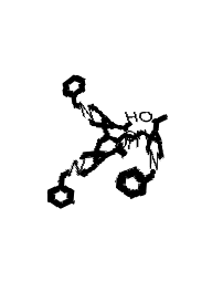 CC(O)C1C2CN(Cc3ccccc3)CC21CCCCC(CC12CN(Cc3ccccc3)CC1C2C(C)O)C12CN(Cc3ccccc3)CC1C2C(C)O